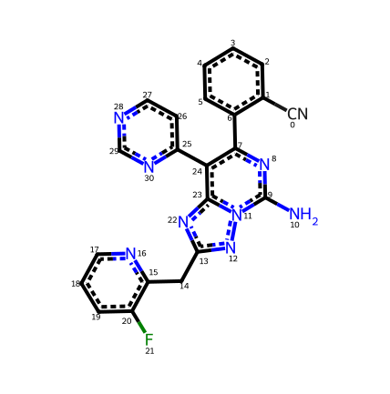 N#Cc1ccccc1-c1nc(N)n2nc(Cc3ncccc3F)nc2c1-c1ccncn1